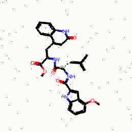 COC(=O)C(CC1CC(=O)Nc2ccccc21)NC(=O)[C@H](CC(C)C)NC(=O)c1cc2c(OC)cccc2[nH]1